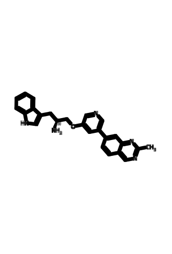 Cc1ncc2ccc(-c3cncc(OC[C@@H](N)Cc4c[nH]c5ccccc45)c3)cc2n1